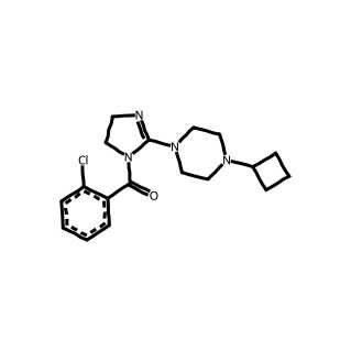 O=C(c1ccccc1Cl)N1CCN=C1N1CCN(C2CCC2)CC1